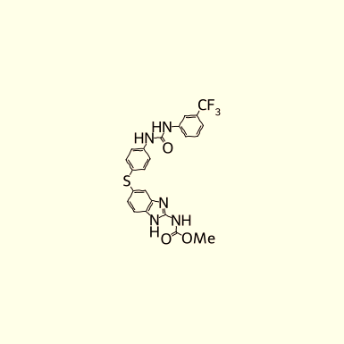 COC(=O)Nc1nc2cc(Sc3ccc(NC(=O)Nc4cccc(C(F)(F)F)c4)cc3)ccc2[nH]1